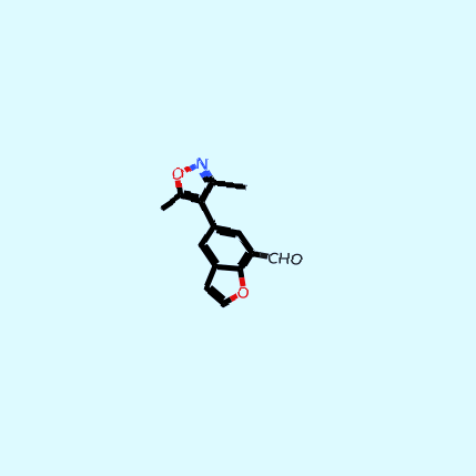 Cc1noc(C)c1-c1cc(C=O)c2occc2c1